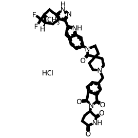 C[C@@]12Cc3[nH]nc(-c4cc5ccc(N6CCC7(CCN(Cc8ccc9c(c8)C(=O)N(C8CCC(=O)NC8=O)C9=O)CC7)C6=O)cc5[nH]4)c3C[C@@H]1C2(F)F.Cl